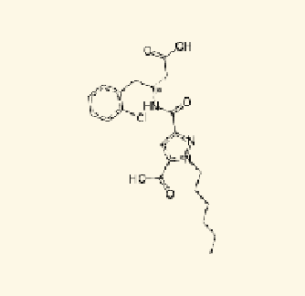 CCCCCCn1nc(C(=O)N[C@@H](CC(=O)O)Cc2ccccc2Cl)cc1C(=O)O